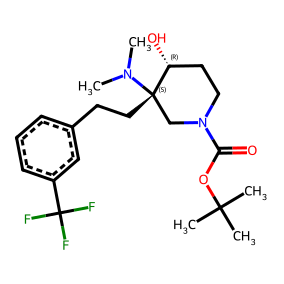 CN(C)[C@@]1(CCc2cccc(C(F)(F)F)c2)CN(C(=O)OC(C)(C)C)CC[C@H]1O